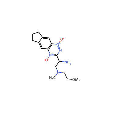 COCCN(C)CC(N)c1n[n+]([O-])c2cc3c(cc2[n+]1[O-])CCC3